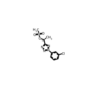 C[C@H](OS(C)(=O)=O)c1nnn(-c2cccc(Cl)c2)n1